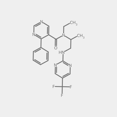 CCN(C(=O)c1cncnc1-c1ccccc1)C(C)CNc1ncc(C(F)(F)F)cn1